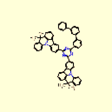 CC1(C)c2ccccc2-n2c3ccc(-c4nc(-c5cccc(-c6cccc(-c7ccccc7)c6)c5)nc(-c5ccc6c(c5)c5cccc7c5n6-c5ccccc5C7(C)C)n4)cc3c3cccc1c32